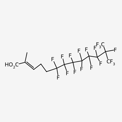 C/C(=C\CCC(F)(F)C(F)(F)C(F)(F)C(F)(F)C(F)(F)C(F)(F)C(F)(C(F)(F)F)C(F)(F)F)C(=O)O